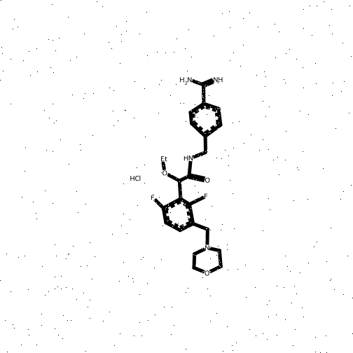 CCOC(C(=O)NCc1ccc(C(=N)N)cc1)c1c(F)ccc(CN2CCOCC2)c1F.Cl